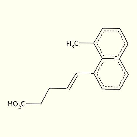 Cc1cccc2cccc(C=CCCC(=O)O)c12